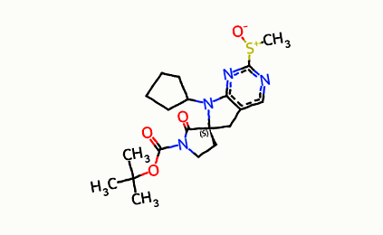 C[S+]([O-])c1ncc2c(n1)N(C1CCCC1)[C@]1(CCN(C(=O)OC(C)(C)C)C1=O)C2